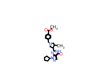 COC(=O)c1ccc(CN2CC(C)C(c3nc4c(cnn4C4CCCC4)c(=O)[nH]3)C2)cc1